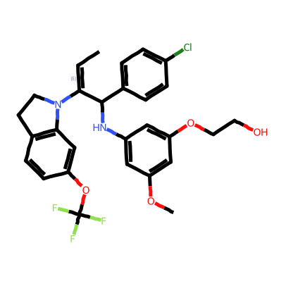 C/C=C(\C(Nc1cc(OC)cc(OCCO)c1)c1ccc(Cl)cc1)N1CCc2ccc(OC(F)(F)F)cc21